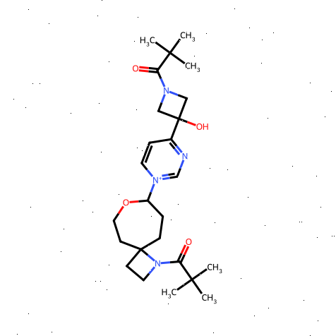 CC(C)(C)C(=O)N1CC(O)(c2cc[n+](C3CCC4(CCO3)CCN4C(=O)C(C)(C)C)cn2)C1